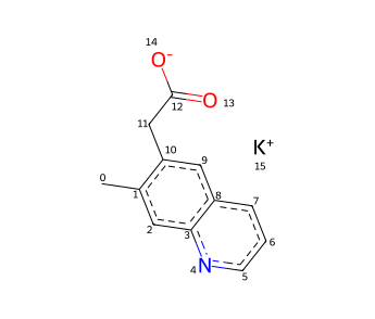 Cc1cc2ncccc2cc1CC(=O)[O-].[K+]